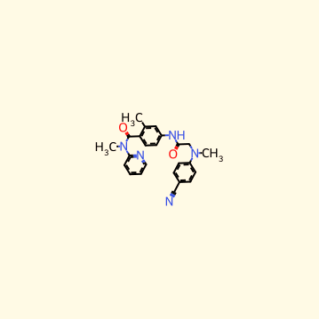 Cc1cc(NC(=O)CN(C)c2ccc(C#N)cc2)ccc1C(=O)N(C)c1ccccn1